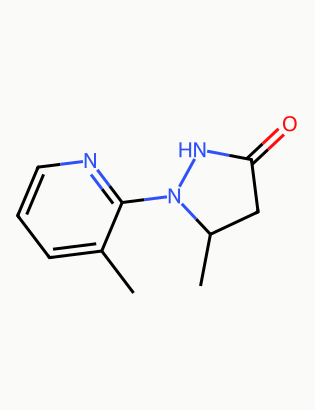 Cc1cccnc1N1NC(=O)CC1C